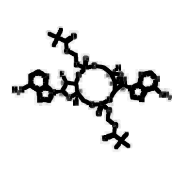 CC(C)(C)C(=O)OCOP1(=O)OC[C@H]2O[C@@H](n3cnc4c(N)ccnc43)[C@@H](F)C2OP(=O)(OCOC(=O)C(C)(C)C)OC[C@H]2O[C@@H](n3cnc4c(N)ncnc43)C(O1)[C@H]2O